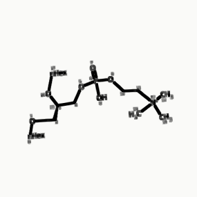 CCCCCCOC[C@H](COP(=O)(O)OCC[N+](C)(C)C)OCCCCCC